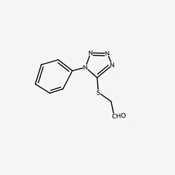 O=CCSc1nnnn1-c1ccccc1